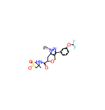 CC(C)n1nc(-c2cccc(OC(F)F)c2)c2c1CC(C(=O)NC1(C)CS(=O)(=O)C1)OC2